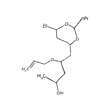 C=CCOC(CC(C)OC(C)=O)CC1CC(CC)OC(CCC)O1